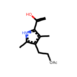 C=C(O)c1[nH]c(C)c(CCOC(C)=O)c1C